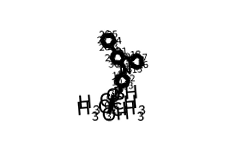 CC(C)(O)C(C)(C)OBc1ccc(-n2c3ccccc3c3cc(-c4ccccc4)ccc32)cc1